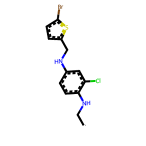 [CH2]CNc1ccc(NCc2ccc(Br)s2)cc1Cl